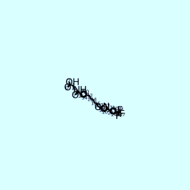 O=C(O)CCNC(=O)c1ccc(CCCCCOc2ccc(-c3ccc(C(F)(F)F)cc3)nc2)cc1